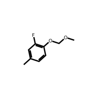 COCOc1ccc(C)cc1F